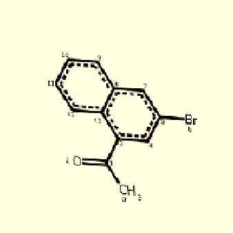 CC(=O)c1cc(Br)cc2ccccc12